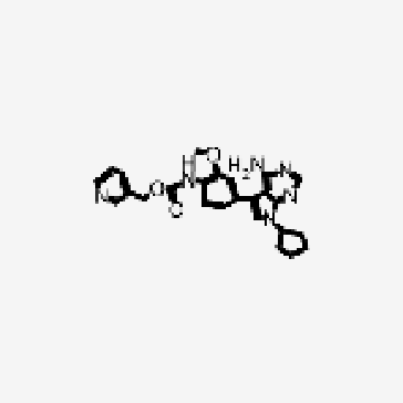 COc1cc(-c2cn(C3CCCC3)c3ncnc(N)c23)ccc1NC(=O)OCc1cccnc1